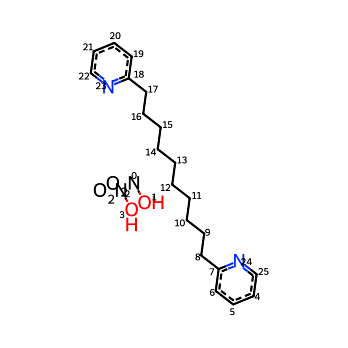 O=[N+]([O-])O.O=[N+]([O-])O.c1ccc(CCCCCCCCCCc2ccccn2)nc1